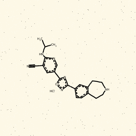 CC(C)Nc1ncc(-c2nc(-c3ccc4c(c3)CCNCC4)no2)cc1C#N.Cl